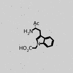 CC(=O)[C@@H](N)Cc1cn(CC(=O)O)c2ccccc12